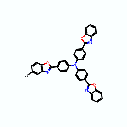 CCc1ccc2oc(-c3ccc(N(c4ccc(-c5nc6ccccc6o5)cc4)c4ccc(-c5nc6ccccc6o5)cc4)cc3)nc2c1